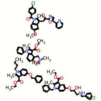 CCCCn1c(C)c(C(=O)OCC)c2cc(OCc3ccccc3)ccc21.CCOC(=O)c1c(C)n(-c2ccccc2)c2ccc(O)c(CN(C)C)c12.CCOC(=O)c1c(C)n(Cc2ccccc2)c2ccc(OCC(O)CNCc3ccccc3)cc12.COc1ccc2c(c1)c(CC(=O)c1ncc(-c3ccccn3)o1)c(C)n2C(=O)c1ccc(Cl)cc1.Cl